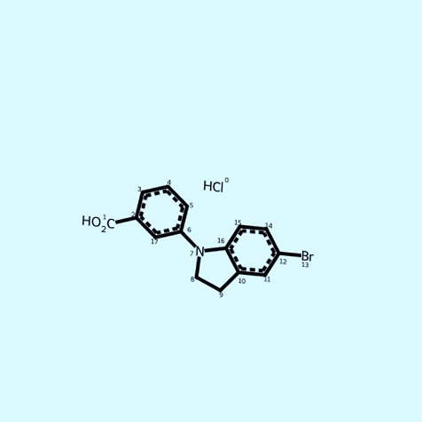 Cl.O=C(O)c1cccc(N2CCc3cc(Br)ccc32)c1